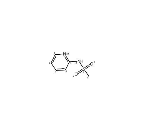 CS(=O)(=O)Nc1ccc[c]n1